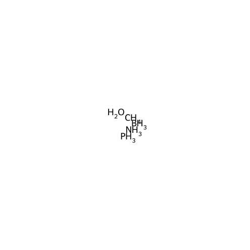 B.C.N.O.P